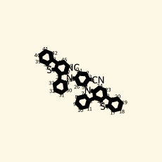 N#Cc1cc(C#N)c(-n2c3ccccc3c3c4sc5ccccc5c4ccc32)cc1-n1c2ccccc2c2c3sc4ccccc4c3ccc21